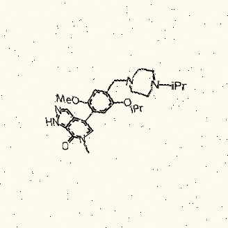 COc1cc(CN2CCN(C(C)C)CC2)c(OC(C)C)cc1-c1cn(C)c(=O)c2[nH]ncc12